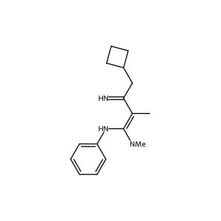 CN/C(Nc1ccccc1)=C(\C)C(=N)CC1CCC1